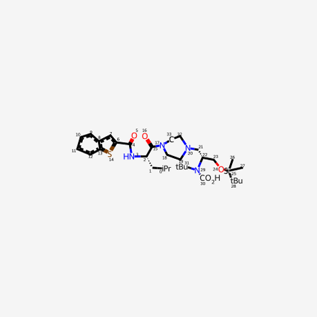 CC(C)C[C@H](NC(=O)c1cc2ccccc2s1)C(=O)N1CCN(C[C@H](CO[Si](C)(C)C(C)(C)C)N(C(=O)O)C(C)(C)C)CC1